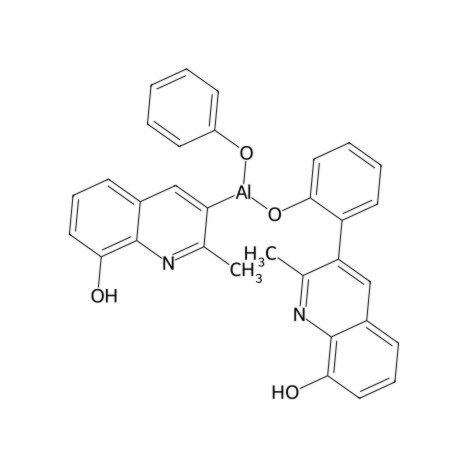 Cc1nc2c(O)cccc2cc1-c1ccccc1[O][Al]([O]c1ccccc1)[c]1cc2cccc(O)c2nc1C